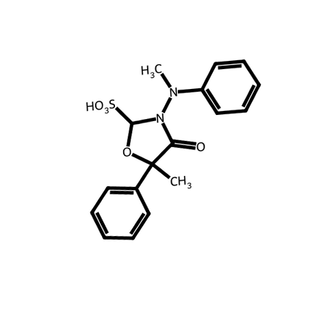 CN(c1ccccc1)N1C(=O)C(C)(c2ccccc2)OC1S(=O)(=O)O